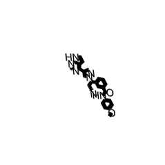 COc1ccc(NC(=O)c2cccc(C(CC#N)n3cc(-c4ncnc5[nH]ccc45)cn3)c2)cc1